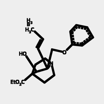 B.CC=CC1(COc2ccccc2)C(O)C2(C(=O)OCC)CCN1CC2